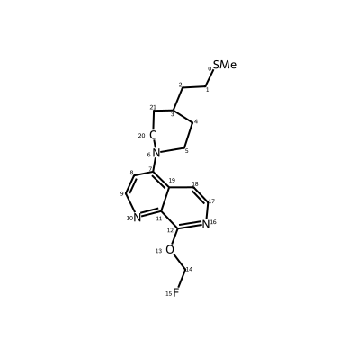 CSCCC1CCN(c2ccnc3c(OCF)nccc23)CC1